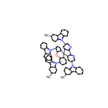 N#Cc1ccc2c(c1)c1ccccc1n2-c1cnc2c(c1)C1(c3cc(-n4c5ccccc5c5cc(C#N)ccc54)cnc3-2)c2cccc(-n3c4ccccc4c4ccccc43)c2Oc2c(-n3c4ccccc4c4cc(C#N)ccc43)cccc21